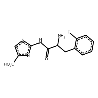 NC(Cc1ccccc1F)C(=O)Nc1nc(C(=O)O)cs1